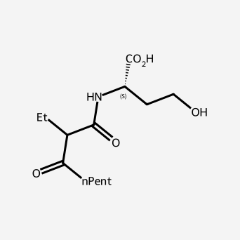 CCCCCC(=O)C(CC)C(=O)N[C@@H](CCO)C(=O)O